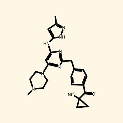 Cc1cc(Nc2cc(N3CCN(C)CC3)nc(Cc3ccc(C(=O)C4(C#N)CC4)cc3)n2)[nH]n1